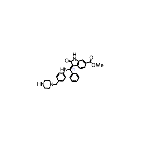 COC(=O)c1ccc2c(c1)NC(=O)/C2=C(\Nc1ccc(CN2CCNCC2)cc1)c1ccccc1